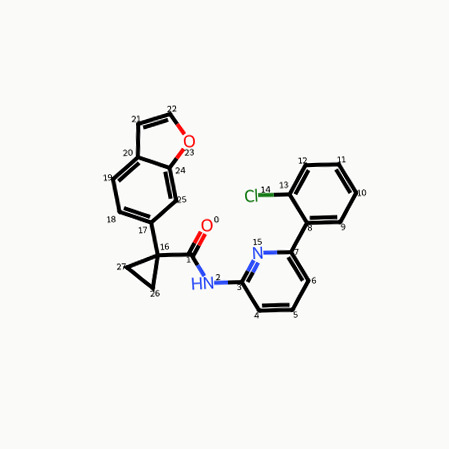 O=C(Nc1cccc(-c2ccccc2Cl)n1)C1(c2ccc3ccoc3c2)CC1